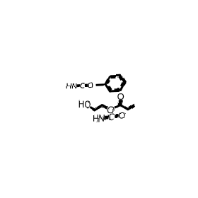 C=CC(=O)OCCO.Cc1ccccc1.N=C=O.N=C=O